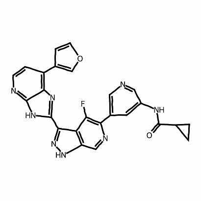 O=C(Nc1cncc(-c2ncc3[nH]nc(-c4nc5c(-c6ccoc6)ccnc5[nH]4)c3c2F)c1)C1CC1